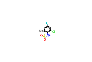 O=[SH](=O)Nc1ccc(F)cc1Cl.[Na]